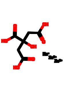 O=C(O)CC(O)(CC(=O)O)C(=O)O.[Na+].[Zn+2].[Zn+2]